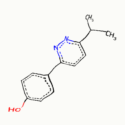 CC(C)c1ccc(-c2ccc(O)cc2)nn1